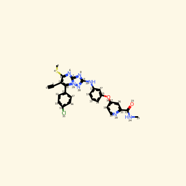 C#Cc1c(SC)nc2nc(Nc3cccc(Oc4ccnc(C(=O)NC)c4)c3)nn2c1-c1ccc(Cl)cc1